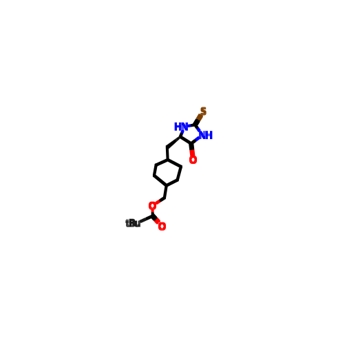 CC(C)(C)C(=O)OCC1CCC(C[C@H]2NC(=S)NC2=O)CC1